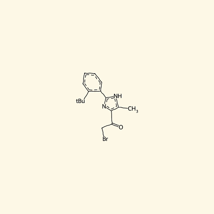 Cc1[nH]c(-c2ccccc2C(C)(C)C)nc1C(=O)CBr